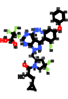 N#CC(=CC1CC1)C(=O)N1CC(F)(F)C[C@H]1Cn1nc(-c2ccc(Oc3ccccc3)cc2F)c2c(N)ncnc21.O=C(O)C(F)(F)F